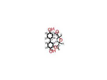 CC(C)(OC(C)(C)C1CO1)C1CO1.Oc1ccc(-c2ccc(O)cc2)cc1